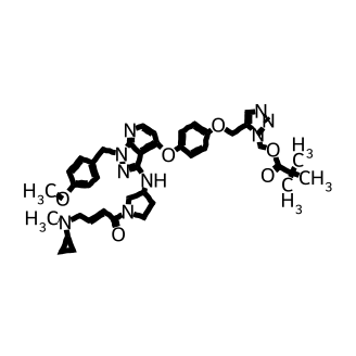 COc1ccc(Cn2nc(NC3CCN(C(=O)C=CCN(C)C4CC4)C3)c3c(Oc4ccc(OCc5cnnn5COC(=O)C(C)(C)C)cc4)ccnc32)cc1